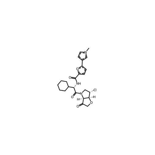 Cn1ccc(-c2ccc(C(=O)N[C@H](C(=O)N3C[C@H](Cl)[C@H]4OCC(=O)[C@H]43)C3CCCCC3)o2)c1